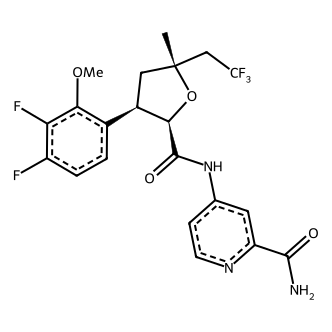 COc1c([C@H]2C[C@](C)(CC(F)(F)F)O[C@H]2C(=O)Nc2ccnc(C(N)=O)c2)ccc(F)c1F